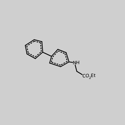 CCOC(=O)CNc1ccc(-c2ccccc2)cc1